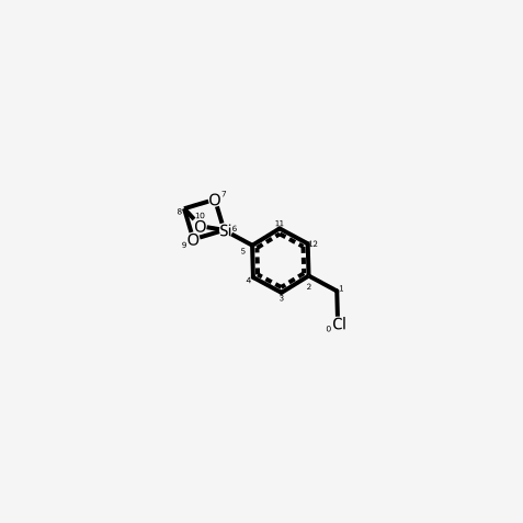 ClCc1ccc([Si]23OC(O2)O3)cc1